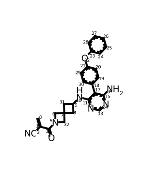 C=C(C#N)C(=O)N1CC2(CC(Nc3ncnc(N)c3-c3ccc(Oc4ccccc4)cc3)C2)C1